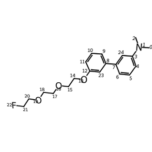 CN(C)c1cccc(-c2cccc(OCCOCCOCCF)c2)c1